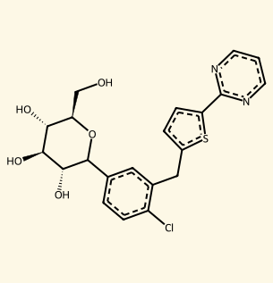 OC[C@H]1OC(c2ccc(Cl)c(Cc3ccc(-c4ncccn4)s3)c2)[C@H](O)[C@@H](O)[C@@H]1O